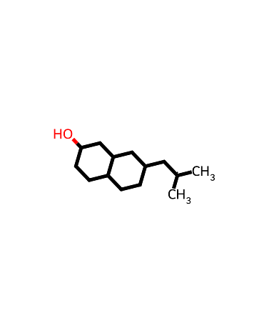 C[C](C)CC1CCC2CCC(O)CC2C1